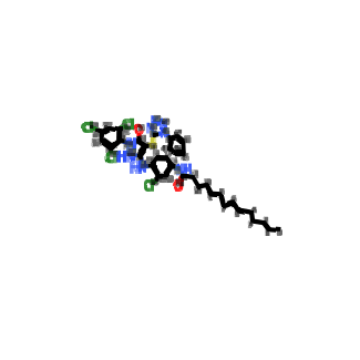 CCCCCCCCCCCCCC(=O)Nc1ccc(Nc2[nH]n(-c3c(Cl)cc(Cl)cc3Cl)c(=O)c2Sc2nnnn2-c2ccccc2)c(Cl)c1